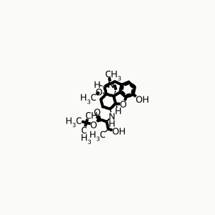 CO[C@@]12CC[C@@H](N[C@H](C(=O)OC(C)(C)C)[C@@H](C)O)[C@@H]3Oc4c(O)ccc5c4[C@@]31CCN(C)[C@@H]2C5